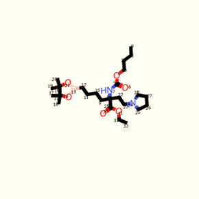 CCCCOC(=O)NC(CCCCB1OC(C)(C)C(C)(C)O1)(CCN1CCCC1)C(=O)OCC